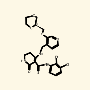 CCc1c(Cl)cccc1NC(=S)C1=C(NCc2ccncc2OC[C@@H]2COCCO2)CCNC1=O